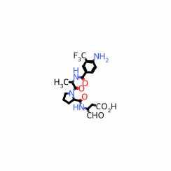 CC(NC(=O)c1ccc(N)c(C(F)(F)F)c1)C(=O)N1CCCC1C(=O)NC(C=O)CC(=O)O